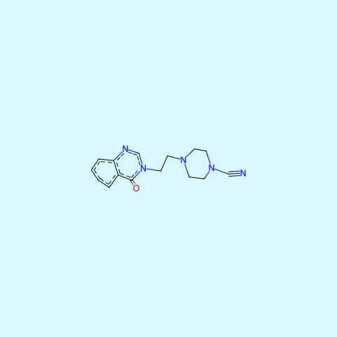 N#CN1CCN(CCn2cnc3ccccc3c2=O)CC1